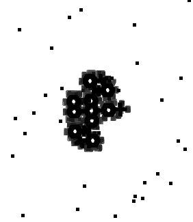 CC(C)(C)c1ccc(-c2c3cc(N4c5ccccc5C(C)(C)c5ccccc54)ccc3c(-c3cccc4ccccc34)c3cc(N4c5ccccc5C(C)(C)c5ccccc54)ccc23)cc1